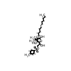 CCCCCCCCCCCCO[C@@]12[C@@H](O)O[C@@H]([C@H](O)COS(=O)(=O)c3ccc(C)cc3)[C@]1(O)C2(C)C